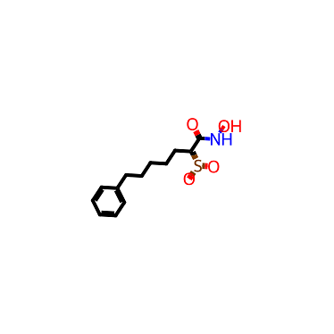 O=C(NO)C(CCCCCc1ccccc1)=S(=O)=O